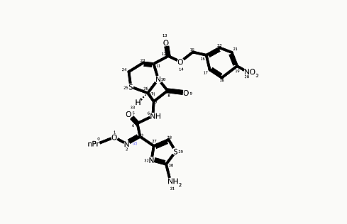 CCCO/N=C(\C(=O)NC1C(=O)N2C(C(=O)OCc3ccc([N+](=O)[O-])cc3)=CCS[C@H]12)c1csc(N)n1